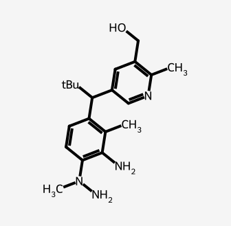 Cc1ncc(C(c2ccc(N(C)N)c(N)c2C)C(C)(C)C)cc1CO